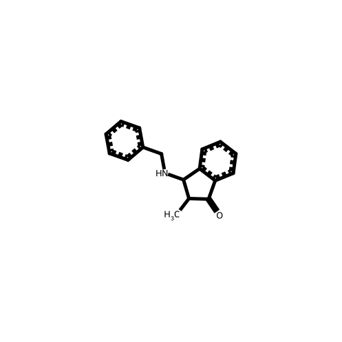 CC1C(=O)c2ccccc2C1NCc1ccccc1